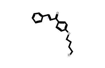 O=C(/C=C/c1ccccc1)c1ccc(OCCCCCl)cc1